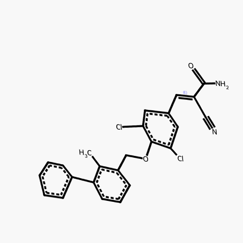 Cc1c(COc2c(Cl)cc(/C=C(\C#N)C(N)=O)cc2Cl)cccc1-c1ccccc1